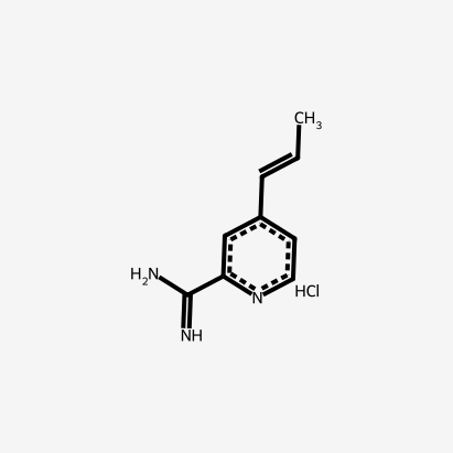 CC=Cc1ccnc(C(=N)N)c1.Cl